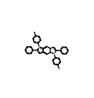 Cc1ccc(N2C(c3ccccc3)=CC3C=c4c(cc(-c5ccccc5)n4-c4ccc(C)cc4)=CC32)cc1